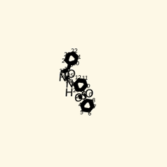 O=S(=O)(c1ccccc1)c1cccc(Nc2ncc(-c3ccccc3)o2)c1